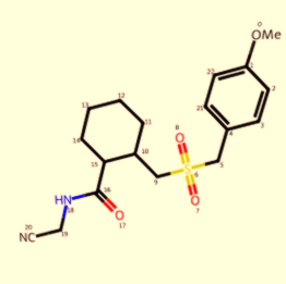 COc1ccc(CS(=O)(=O)CC2CCCCC2C(=O)NCC#N)cc1